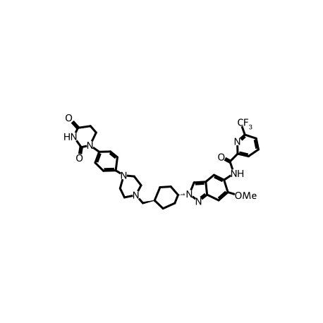 COc1cc2nn([C@H]3CC[C@H](CN4CCN(c5ccc(N6CCC(=O)NC6=O)cc5)CC4)CC3)cc2cc1NC(=O)c1cccc(C(F)(F)F)n1